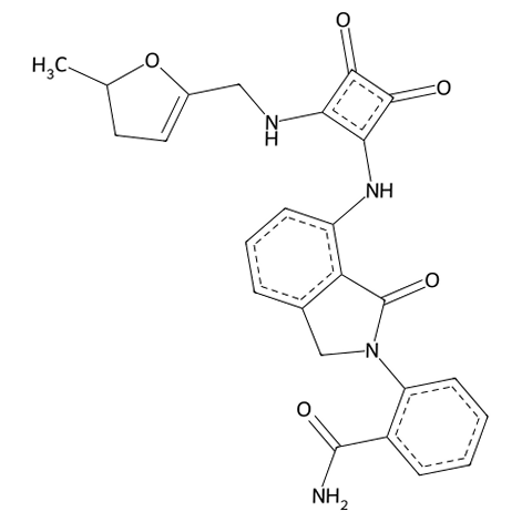 CC1CC=C(CNc2c(Nc3cccc4c3C(=O)N(c3ccccc3C(N)=O)C4)c(=O)c2=O)O1